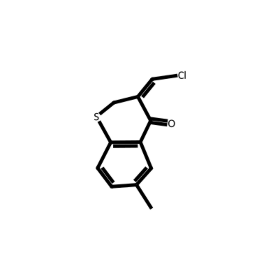 Cc1ccc2c(c1)C(=O)C(=CCl)CS2